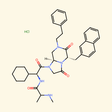 CNC(C)C(=O)N[C@H](C(=O)N1CC(=O)N2[C@@H]1CN(CCc1ccccc1)C(=O)[C@@H]2Cc1ccc2ccccc2c1)C1CCCCC1.Cl